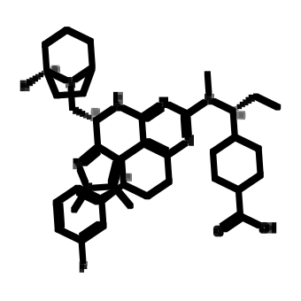 CC[C@H](C1CCC(C(=O)O)CC1)N(C)c1nc2c(c(N[C@@H](CN3C4CCC[C@@H]3CC4)c3cc(C)n(C)n3)n1)C[C@H](c1cccc(F)c1)CC2